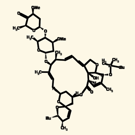 CC[C@@H](C)[C@H]1O[C@]2(C=C[C@@H]1C)C[C@@H]1C[C@@H](C/C=C(\C)[C@@H](O[C@H]3C[C@H](OC)[C@@H](O[C@H]4C[C@H](OC)C(=O)[C@H](C)O4)[C@H](C)O3)[C@@H](C)/C=C/C=C3\CO[C@@H]4[C@H](O[Si](C)(C)C(C)(C)C)C(C)=C[C@@H](C(=O)O1)[C@]34O)O2